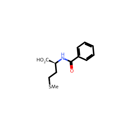 CSCC[C@H](NC(=O)c1ccccc1)C(=O)O